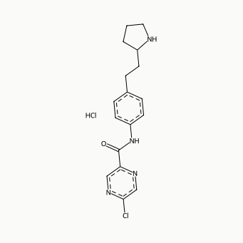 Cl.O=C(Nc1ccc(CCC2CCCN2)cc1)c1cnc(Cl)cn1